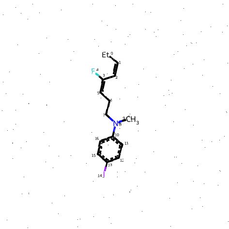 CC/C=C\C(F)=C/CCN(C)c1ccc(I)cc1